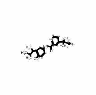 CC(C)C(C)c1cc(NC(=O)c2cc(C(C)(C)C#N)ccn2)ccc1Cl